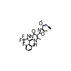 C#C/C=C(/OC)c1nc(-c2c(C)[nH]c3c(-c4c(F)cccc4F)c(C(F)(F)F)nn3c2=O)oc1C